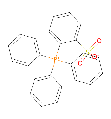 O=S(=O)([O-])c1ccccc1[P+](c1ccccc1)(c1ccccc1)c1ccccc1